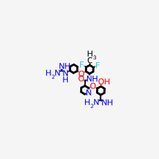 Cc1c(F)cc(NC(=O)c2cccnc2Oc2cc(C(=N)N)ccc2O)c(Oc2cccc(NC(=N)N)c2)c1F